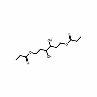 CCC(=O)OCCC(O)C(O)CCOC(=O)CC